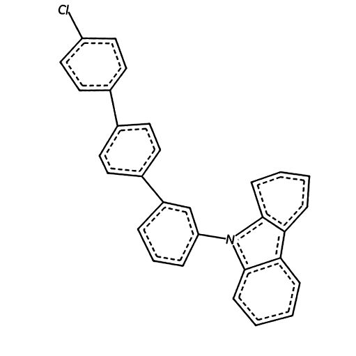 Clc1ccc(-c2ccc(-c3cccc(-n4c5ccccc5c5ccccc54)c3)cc2)cc1